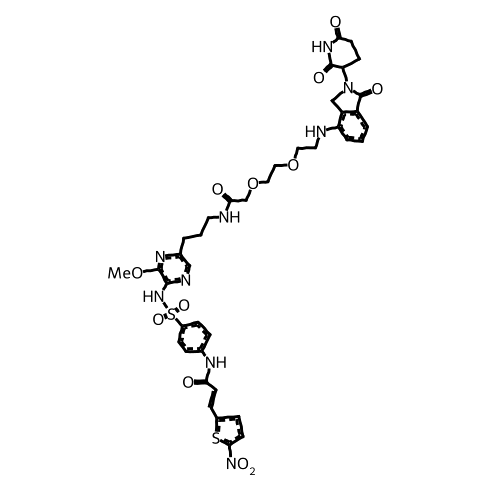 COc1nc(CCCNC(=O)COCCOCCNc2cccc3c2CN(C2CCC(=O)NC2=O)C3=O)cnc1NS(=O)(=O)c1ccc(NC(=O)/C=C/c2ccc([N+](=O)[O-])s2)cc1